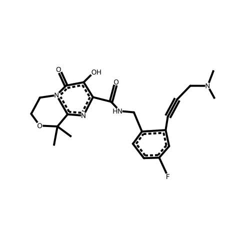 CN(C)CC#Cc1cc(F)ccc1CNC(=O)c1nc2n(c(=O)c1O)CCOC2(C)C